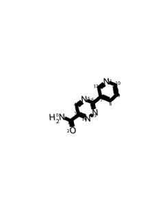 NC(=O)c1cnc(-c2cccnc2)nn1